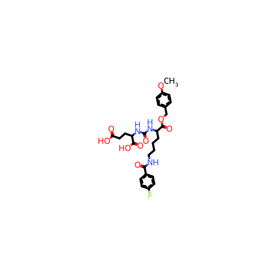 COc1ccc(COC(=O)C(CCCCNC(=O)c2ccc(F)cc2)NC(=O)NC(CCC(=O)O)C(=O)O)cc1